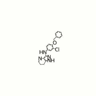 Clc1cc(Nc2n[nH]c3c2N=CCC3)ccc1OCc1ccccc1